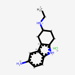 CCNC1CCc2[nH]c3ccc(N)cc3c2C1.Cl